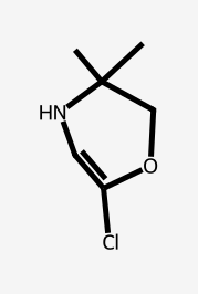 CC1(C)COC(Cl)=CN1